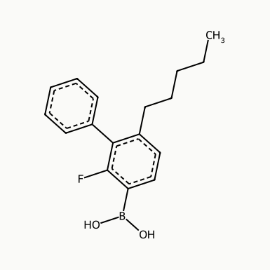 CCCCCc1ccc(B(O)O)c(F)c1-c1ccccc1